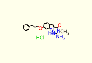 CN(C(=N)N)C(=O)c1cc2ccc(OCCCc3ccccc3)cc2[nH]1.Cl